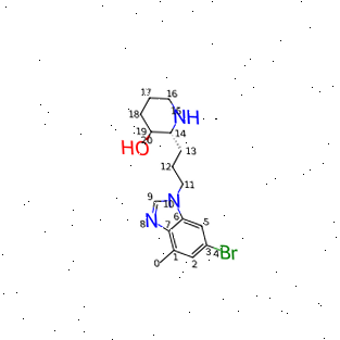 Cc1cc(Br)cc2c1ncn2CCC[C@H]1NCCC[C@@H]1O